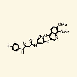 COc1ccc2c(Oc3ncc(NC(=O)CC(=O)Nc4ccc(F)cc4)cc3Cl)ccnc2c1OC